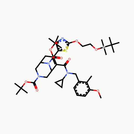 COc1cccc(CN(C(=O)C2=C(c3cnc(OCCO[Si](C)(C)C(C)(C)C)s3)CC3CN(C(=O)OC(C)(C)C)CC2N3C(=O)OC(C)(C)C)C2CC2)c1C